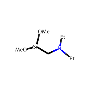 CCN(CC)C[Si](OC)OC